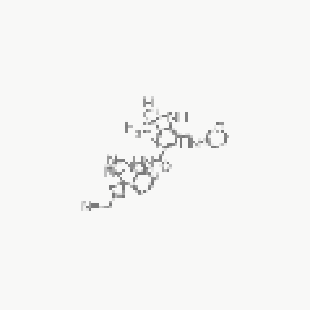 Cn1cnnc1C1(c2cccc(NC(=O)c3cc(CN[C@@H]4CCCOC4)c4c(n3)C(C)(C)CN4)c2)CC(CC#N)C1